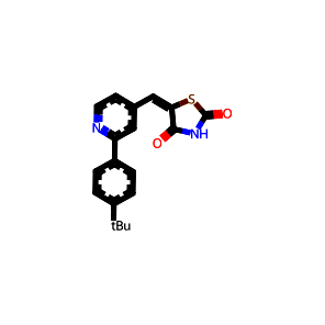 CC(C)(C)c1ccc(-c2cc(C=C3SC(=O)NC3=O)ccn2)cc1